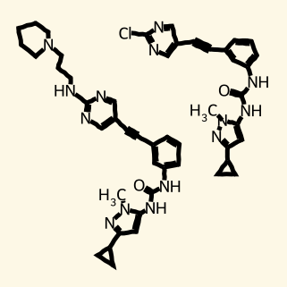 Cn1nc(C2CC2)cc1NC(=O)Nc1cccc(C#Cc2cnc(Cl)nc2)c1.Cn1nc(C2CC2)cc1NC(=O)Nc1cccc(C#Cc2cnc(NCCCN3CCCCC3)nc2)c1